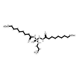 CCCCCCCCCCCCCCCCCC(=O)[N]OP(=O)(OCCN)OC(=O)CCCCCCCCCCCCCCCCC